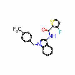 O=C(Nc1cn(Cc2ccc(C(F)(F)F)cc2)c2ccccc12)c1sccc1F